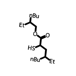 CCCCC(CC)COC(=O)C(S)CC(CC)CCCC